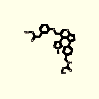 Cn1cc(-c2c(COc3cccc(CC(=O)OC(C)(C)C)c3)coc3ccc(-c4ccc(CNC(=O)OC(C)(C)C)cc4)c2-3)cn1